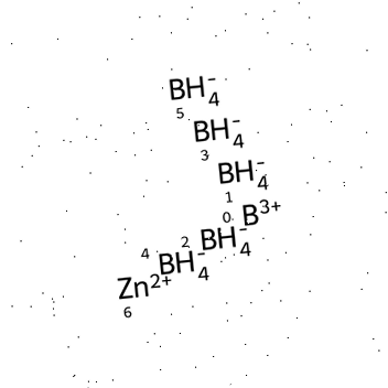 [B+3].[BH4-].[BH4-].[BH4-].[BH4-].[BH4-].[Zn+2]